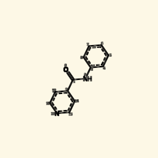 O=C(Nc1ccccc1)c1[c]cncc1